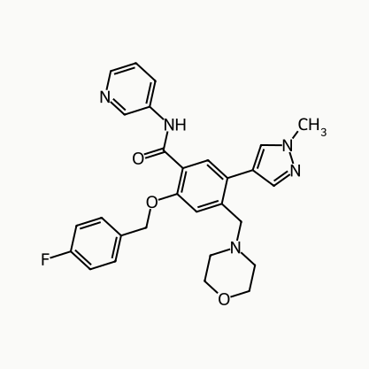 Cn1cc(-c2cc(C(=O)Nc3cccnc3)c(OCc3ccc(F)cc3)cc2CN2CCOCC2)cn1